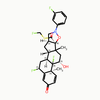 CC12C[C@H](O)[C@@]3(F)[C@@H](C[C@H](F)C4=CC(=O)C=C[C@@]43C)[C@@H]1C[C@H]1CN(c3cccc(F)c3)O[C@]12C(=O)SCF